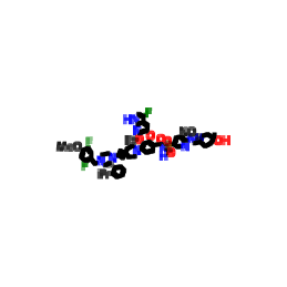 CCOc1nc2[nH]cc(F)c2cc1Oc1cc(N2CCC3(CC2)CC(N2CCN(Cc4cc(F)c(OC)cc4F)C[C@H]2c2ccccc2C(C)C)C3)ccc1C(=O)NS(=O)(=O)c1cnc(NCC2CCC(C)(O)CC2)c([N+](=O)[O-])c1